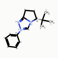 CC(C)(C)[C@H]1CCc2n[n+](-c3ccccc3)cn21